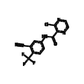 N#Cc1cc(NC(=O)c2nccnc2Cl)ccc1C(F)(F)F